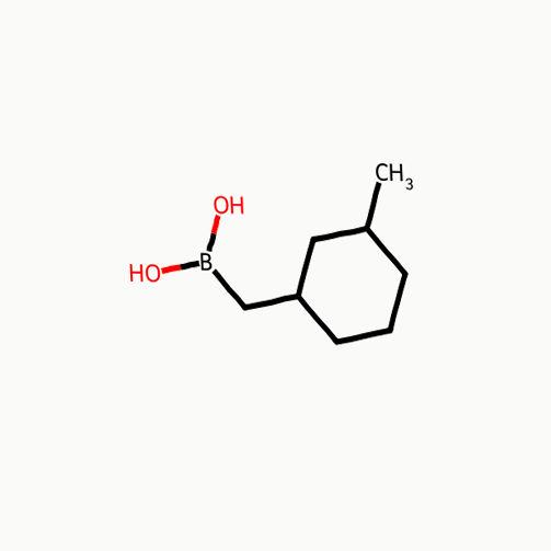 CC1CCCC(CB(O)O)C1